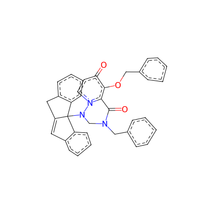 O=C1c2c(OCc3ccccc3)c(=O)ccn2N(C23C(=Cc4ccccc42)Cc2ccccc23)CN1Cc1ccccc1